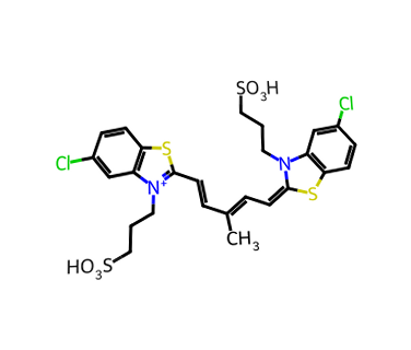 CC(C=Cc1sc2ccc(Cl)cc2[n+]1CCCS(=O)(=O)O)=CC=C1Sc2ccc(Cl)cc2N1CCCS(=O)(=O)O